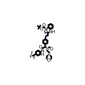 CC(C)(C)OC(=O)Nc1ccccc1NC(=O)/C=C/c1ccc(C(C(=O)Nc2ccc(C(F)(F)F)cc2)N(C=O)CCN2CCOCC2)cc1